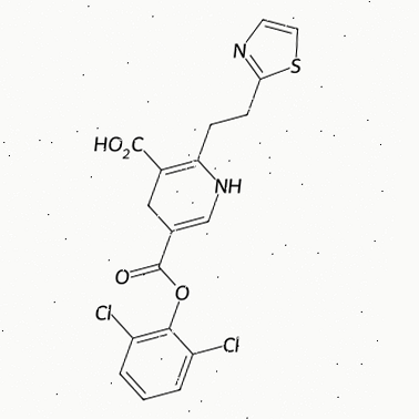 O=C(O)C1=C(CCc2nccs2)NC=C(C(=O)Oc2c(Cl)cccc2Cl)C1